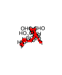 C#C[C@H]1CC(F)(F)CN1C(=O)CNC(=O)c1ccnc2ccc(OCCCCN3CCN(C(=O)C(O)CSCCNC(=O)C(CCOCCNC(=O)CCCc4ccc(I)cc4)NC(=O)CN4CCN(COC=O)CCN(COC=O)CCN(CC(=O)O)CC4)CC3)cc12